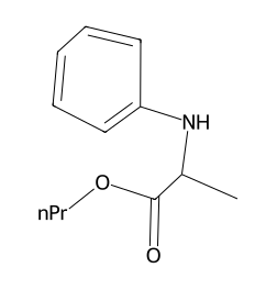 CCCOC(=O)C(C)Nc1ccccc1